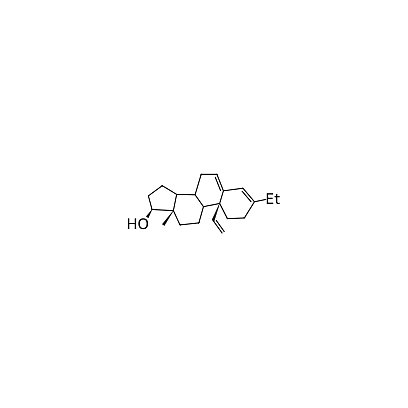 C=C[C@]12CCC(CC)=CC1=CCC1C2CC[C@@]2(C)C1CC[C@@H]2O